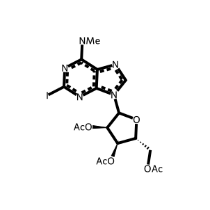 CNc1nc(I)nc2c1ncn2C1O[C@H](COC(C)=O)[C@@H](OC(C)=O)[C@H]1OC(C)=O